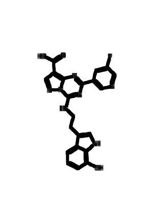 O=C(O)c1cnn2c(NCCc3c[nH]c4c(O)cccc34)nc(-c3cncc(F)c3)nc12